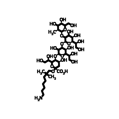 C[C@@H]1C(O)[C@H](O)C(CO)O[C@@H]1OC1C(O)[C@H](O)[C@H]([C@@H](O)CO)O[C@@H]1O[C@@H]1C(O)[C@@H](O[C@H]2C([C@H](O)CO)O[C@@](OCC(C)(C)CCCCCCN)(C(=O)O)C[C@H]2O)OC([C@@H](O)CO)[C@H]1O